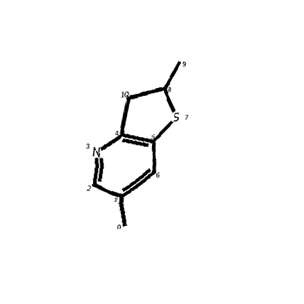 Cc1cnc2c(c1)SC(C)C2